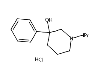 CC(C)N1CCCC(O)(c2ccccc2)C1.Cl